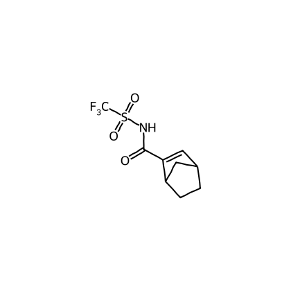 O=C(NS(=O)(=O)C(F)(F)F)C1=CC2CCC1C2